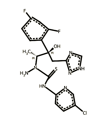 C[C@@H](N(N)C(=S)Nc1ccc(Cl)cn1)[C@@](O)(Cc1nc[nH]n1)c1ccc(F)cc1F